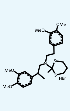 Br.COc1ccc(CCN(CC(C)c2ccc(OC)c(OC)c2)C2(C)SCCCS2)cc1OC